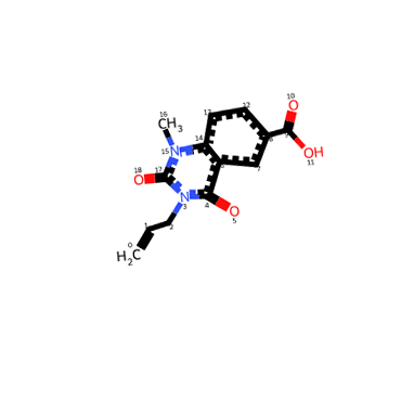 C=CCn1c(=O)c2cc(C(=O)O)ccc2n(C)c1=O